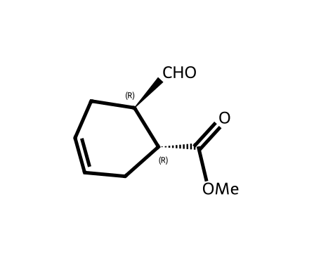 COC(=O)[C@@H]1CC=CC[C@H]1C=O